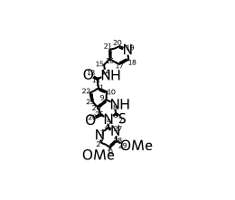 COc1cnc(-n2c(=S)[nH]c3cc(C(=O)NCc4ccncc4)ccc3c2=O)nc1OC